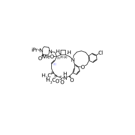 CO[C@]1(CN2CCN(C(C)C)C(=O)C2)/C=C/C[C@H](C)[C@@H](C)S(=O)(=O)NC(=O)c2ccc3c(c2)N(CCCCc2cc(Cl)ccc2CO3)C[C@@H]2CC[C@H]21